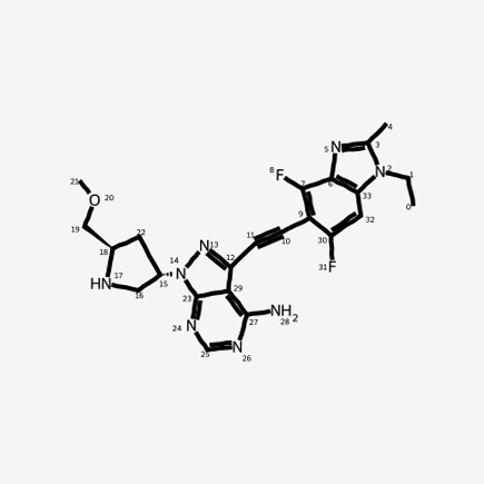 CCn1c(C)nc2c(F)c(C#Cc3nn([C@@H]4CN[C@@H](COC)C4)c4ncnc(N)c34)c(F)cc21